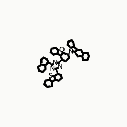 c1ccc2cc3c(cc2c1)c1ccccc1n3-c1ccc(-c2nc(-c3cccc4ccccc34)nc(-c3cccc4c3sc3ccccc34)n2)c2c1oc1ccccc12